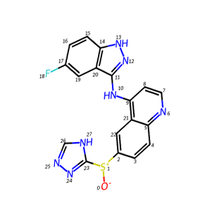 [O-][S+](c1ccc2nccc(Nc3n[nH]c4ccc(F)cc34)c2c1)c1nnc[nH]1